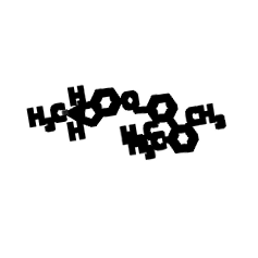 Cc1cccc(C)c1-c1cccc(COc2ccc3c(c2)C[C@H]2[C@H](C)[C@@H]32)c1C